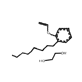 C=COc1ccccc1CCCCCCCC.OCCO